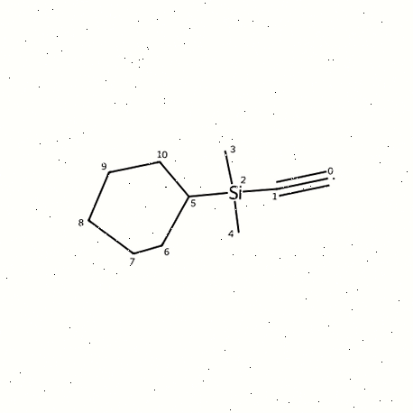 [C]#C[Si](C)(C)C1CCCCC1